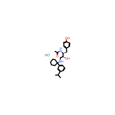 CC(=O)N[C@@H](Cc1ccc(O)cc1)[C@@H](O)CNC1(c2cccc(C(C)C)c2)CCCCC1.Cl